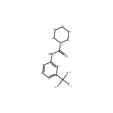 O=C(Nc1cccc(C(F)(F)F)c1)N1CCCCC1